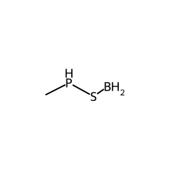 BSPC